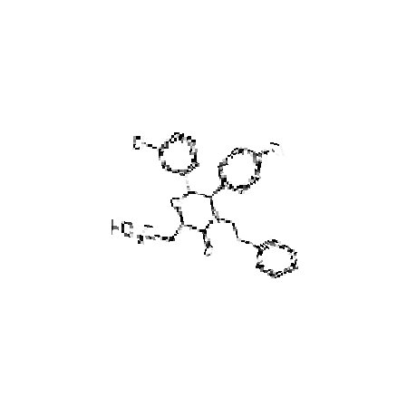 O=C(O)C[C@H]1O[C@H](c2cccc(Cl)c2)[C@@H](c2ccc(Cl)cc2)N(CCc2ccccc2)C1=O